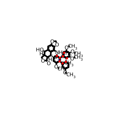 COc1ccc(F)c(/C=C(/C(=O)Nc2c3c(cc4c2[C@@H](c2cc(OC)c(OC)c(OC)c2)[C@H]2C(=O)OC[C@@H]2[C@H]4O)OCO3)c2cc(OC)c(OC)c(OC)c2)c1